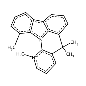 Cc1cccc2c3cccc4c3n(c12)-c1c(ccc[n+]1C)C4(C)C